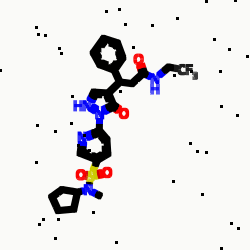 CN(C1CCCC1)S(=O)(=O)c1ccc(-n2[nH]cc(C(CC(=O)NCC(F)(F)F)c3ccccc3)c2=O)nc1